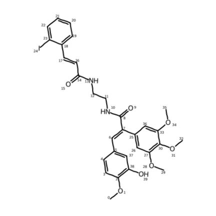 COc1ccc(/C=C(/C(=O)NCCNC(=O)/C=C/c2ccccc2I)c2cc(OC)c(OC)c(OC)c2)cc1O